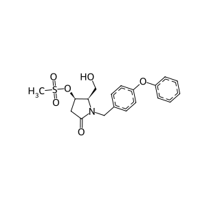 CS(=O)(=O)O[C@@H]1CC(=O)N(Cc2ccc(Oc3ccccc3)cc2)[C@@H]1CO